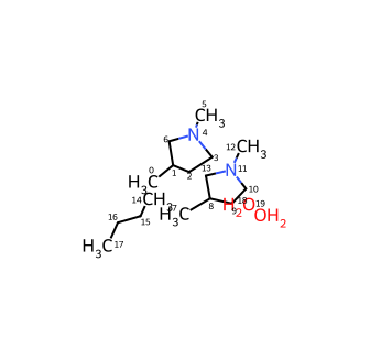 CC1CCN(C)C1.CC1CCN(C)C1.CCCC.O.O